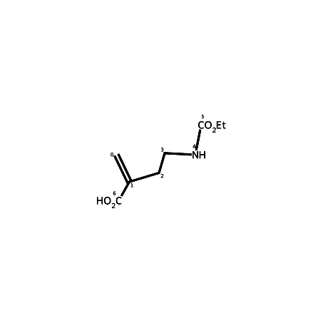 C=C(CCNC(=O)OCC)C(=O)O